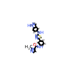 Cn1nccc1C(=O)Nc1cccc(-c2nnc(Nc3ccc4[nH]ncc4c3)s2)c1